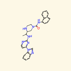 CC(Nc1nccc(-n2cnc3ccccc32)n1)[C@@H]1CN(C(=O)Nc2cccc3ccccc23)CCN1